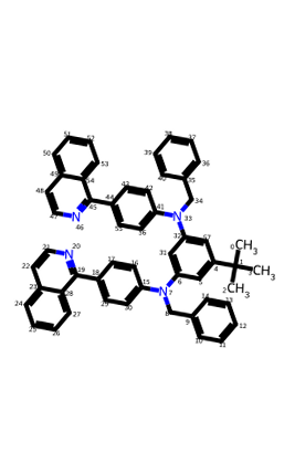 CC(C)(C)c1cc(N(Cc2ccccc2)c2ccc(-c3nccc4ccccc34)cc2)cc(N(Cc2ccccc2)c2ccc(-c3nccc4ccccc34)cc2)c1